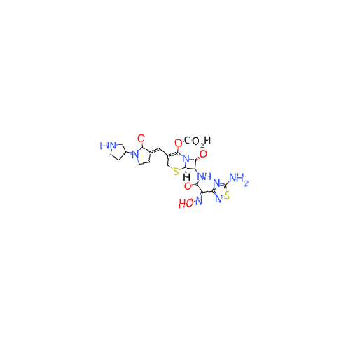 Nc1nc(/C(=N/O)C(=O)N[C@@H]2C(=O)N3C(OC(=O)O)=C(/C=C4\CCN([C@H]5CCNC5)C4=O)CS[C@H]23)ns1